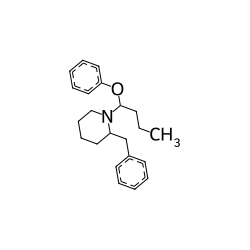 CCCC(Oc1ccccc1)N1CCCCC1Cc1ccccc1